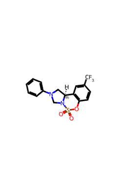 O=S1(=O)Oc2ccc(C(F)(F)F)cc2[C@@H]2CN(c3ccccc3)CN21